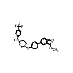 COc1n[nH]c2ccc(C3=CC=C(SN4CCC(Nc5ccc(C(F)(F)F)cn5)CC4)CC3)cc12